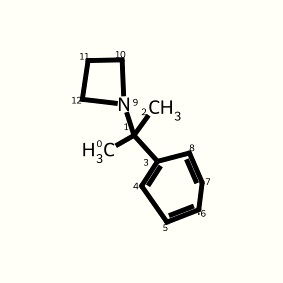 CC(C)(c1cc[c]cc1)N1CCC1